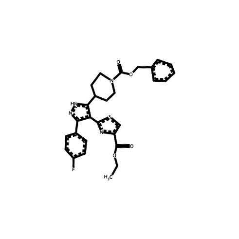 CCOC(=O)c1csc(-c2c(-c3ccc(F)cc3)n[nH]c2C2CCN(C(=O)OCc3ccccc3)CC2)n1